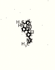 CC1Nc2cccc(C(=O)c3ccc(-c4ccn(C)n4)cc3Cl)c2Nc2ncccc21